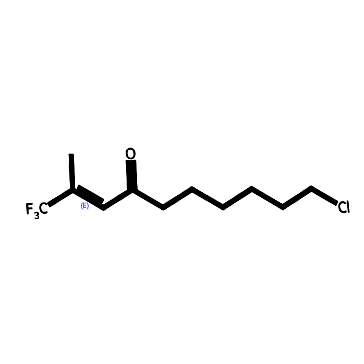 C/C(=C\C(=O)CCCCCCCl)C(F)(F)F